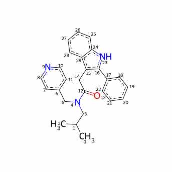 CC(C)CN(Cc1ccncc1)C(=O)Cc1c(-c2ccccc2)[nH]c2ccccc12